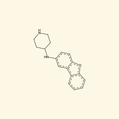 c1ccc2c(c1)oc1ccc(NC3CCNCC3)cc12